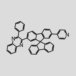 c1ccc(-c2nc3ccccc3nc2-c2ccc3c(c2)C2(c4ccccc4-c4ccccc42)c2cc(-c4ccncc4)ccc2-3)cc1